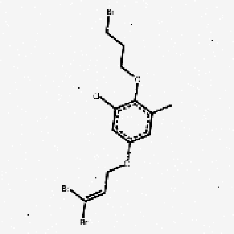 Cc1cc(OCC=C(Br)Br)cc(Cl)c1OCCCBr